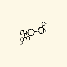 CCOC(=O)C1(N2CCC(c3ccnc(OC)c3)CC2)CCC1